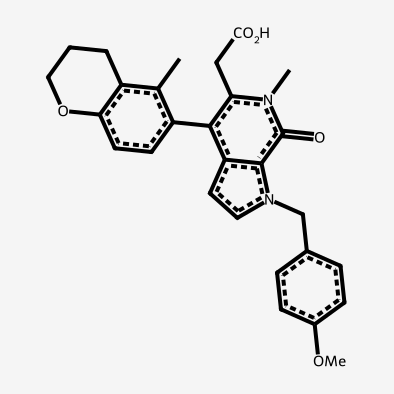 COc1ccc(Cn2ccc3c(-c4ccc5c(c4C)CCCO5)c(CC(=O)O)n(C)c(=O)c32)cc1